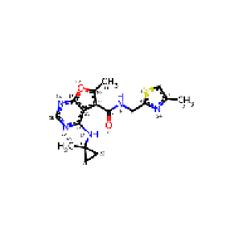 Cc1csc(CNC(=O)c2c(C)oc3ncnc(NC4(C)CC4)c23)n1